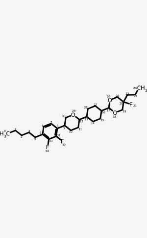 CCCCCc1ccc(C2CCC(C3CCC(C4OCC(F)(CCC)CO4)CC3)OC2)c(F)c1F